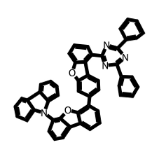 c1ccc(-c2nc(-c3ccccc3)nc(-c3cccc4oc5cc(-c6cccc7c6oc6c(-n8c9ccccc9c9ccccc98)cccc67)ccc5c34)n2)cc1